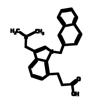 CN(C)Cc1cn(Cc2ccc3ccccc3c2)c2c(CCC(=O)O)cccc12